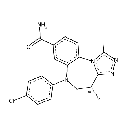 Cc1nnc2n1-c1ccc(C(N)=O)cc1N(c1ccc(Cl)cc1)C[C@H]2C